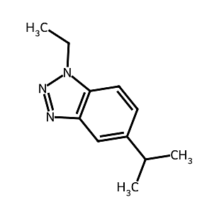 CCn1nnc2cc(C(C)C)ccc21